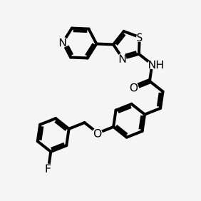 O=C(/C=C\c1ccc(OCc2cccc(F)c2)cc1)Nc1nc(-c2ccncc2)cs1